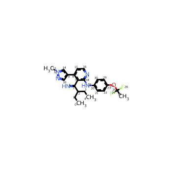 CCC(CC)C(=N)c1c(-c2cnn(C)c2)ccnc1Nc1ccc(OC(C)(F)F)cc1